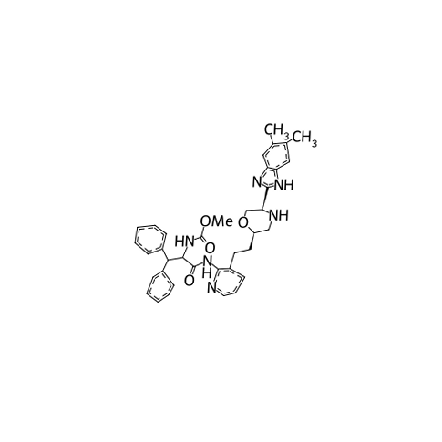 COC(=O)NC(C(=O)Nc1ncccc1CC[C@@H]1CN[C@H](c2nc3cc(C)c(C)cc3[nH]2)CO1)C(c1ccccc1)c1ccccc1